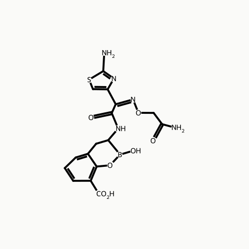 NC(=O)CON=C(C(=O)NC1Cc2cccc(C(=O)O)c2OB1O)c1csc(N)n1